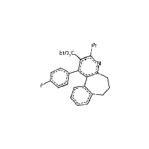 CCOC(=O)c1c(C(C)C)nc2c(c1-c1ccc(F)cc1)-c1ccccc1CCC2